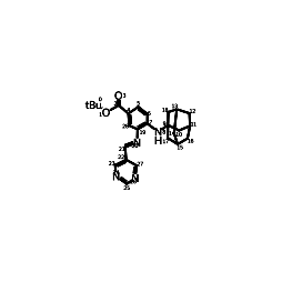 CC(C)(C)OC(=O)c1ccc(NC23CC4CC(CC(C4)C2)C3)c(N=Cc2cncnc2)c1